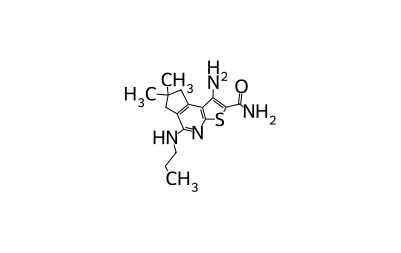 CCCNc1nc2sc(C(N)=O)c(N)c2c2c1CC(C)(C)C2